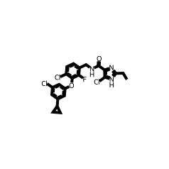 CCc1nc(C(=O)NCc2ccc(Cl)c(Oc3cc(Cl)cc(C4CC4)c3)c2F)c(Cl)[nH]1